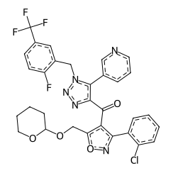 O=C(c1nnn(Cc2cc(C(F)(F)F)ccc2F)c1-c1cccnc1)c1c(-c2ccccc2Cl)noc1COC1CCCCO1